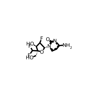 Nc1ccn([C@@H]2O[C@@](CO)(C(F)F)[C@@H](O)C2F)c(=O)n1